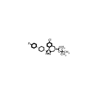 CC(C)(C)OC(=O)N1Cc2cc(Cl)ccc2-n2c(nnc2[C@H]2CC[C@@H](c3ccc(F)cc3)CC2)C1